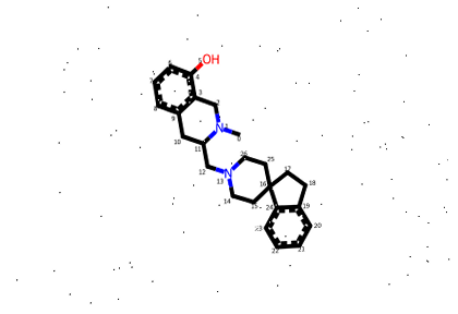 CN1Cc2c(O)cccc2CC1CN1CCC2(CCc3ccccc32)CC1